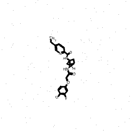 CCc1ccc(C(=O)NC23CC(C2)[C@@H](NC(=O)COc2ccc(Cl)c(F)c2)C3)nc1